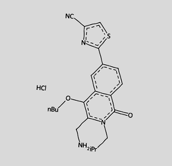 CCCCOc1c(CN)n(CC(C)C)c(=O)c2ccc(-c3nc(C#N)cs3)cc12.Cl